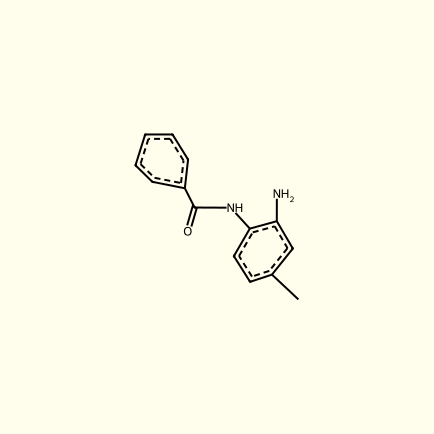 Cc1ccc(NC(=O)c2ccccc2)c(N)c1